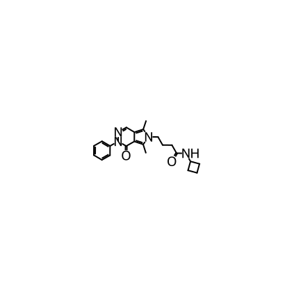 Cc1c2cnn(-c3ccccc3)c(=O)c2c(C)n1CCCC(=O)NC1CCC1